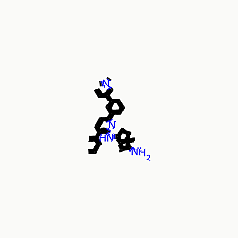 C=C/C(=C\N(C)C)c1cccc(-c2ccc(C(=C)/C=C\C)c(NC3CCC4(C)C(N)CC34)n2)c1